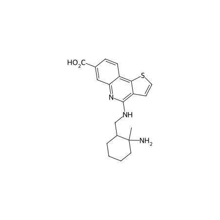 CC1(N)CCCCC1CNc1nc2cc(C(=O)O)ccc2c2sccc12